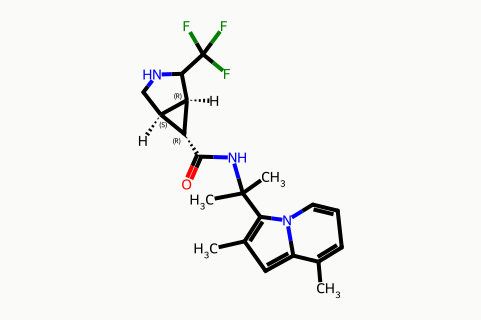 Cc1cc2c(C)cccn2c1C(C)(C)NC(=O)[C@@H]1[C@H]2CNC(C(F)(F)F)[C@H]21